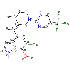 C=C1CCN(c2ncc(C(F)(F)F)cn2)C/C1=C(/C)c1cc(F)c(OC)c2[nH]ccc12